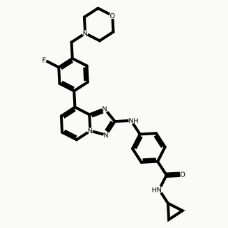 O=C(NC1CC1)c1ccc(Nc2nc3c(-c4ccc(CN5CCOCC5)c(F)c4)cccn3n2)cc1